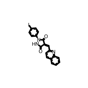 O=C1NN(c2ccc(I)cc2)C(=O)/C1=C/c1ccc2ccccc2n1